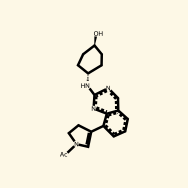 CC(=O)N1C=C(c2cccc3cnc(N[C@H]4CC[C@H](O)CC4)nc23)CC1